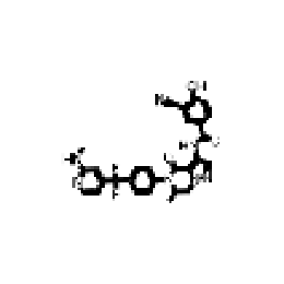 CNc1cc(C(F)(F)c2ccc(N3C(=O)c4c(NC(=O)c5ccc(O)c(C#N)c5)cnn4CC3C)cc2)ccn1